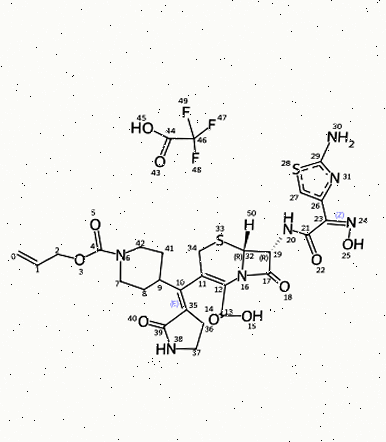 C=CCOC(=O)N1CCC(/C(C2=C(C(=O)O)N3C(=O)[C@@H](NC(=O)/C(=N\O)c4csc(N)n4)[C@H]3SC2)=C2/CCNC2=O)CC1.O=C(O)C(F)(F)F